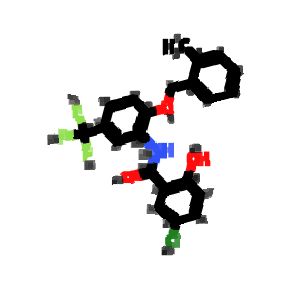 Cc1ccccc1COc1ccc(C(F)(F)F)cc1NC(=O)c1cc(Cl)ccc1O